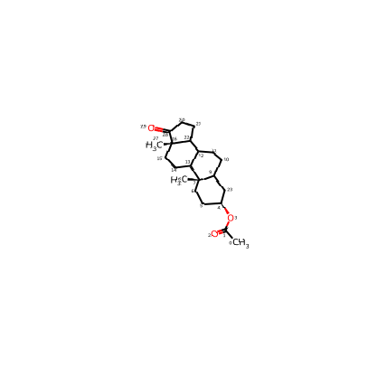 CC(=O)O[C@H]1CC[C@@]2(C)C(CCC3C2CC[C@]2(C)C(=O)CCC32)C1